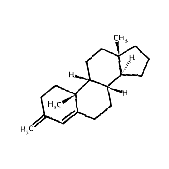 C=C1C=C2CC[C@@H]3[C@@H](CC[C@]4(C)CCC[C@@H]34)[C@@]2(C)CC1